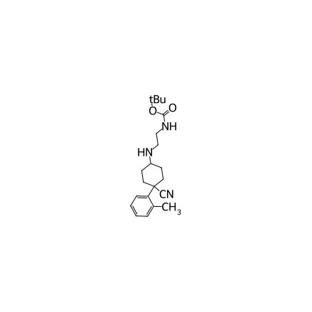 Cc1ccccc1C1(C#N)CCC(NCCNC(=O)OC(C)(C)C)CC1